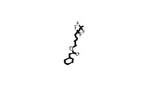 CC(F)(F)C(F)(F)CCCCOC(=O)CC1CCCCC1